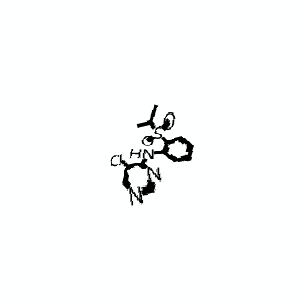 CC(C)S(=O)(=O)c1ccccc1Nc1ncncc1Cl